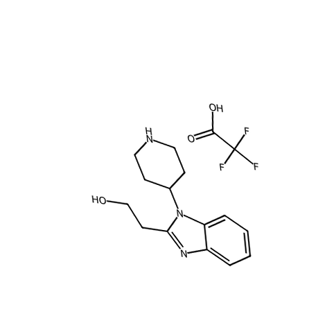 O=C(O)C(F)(F)F.OCCc1nc2ccccc2n1C1CCNCC1